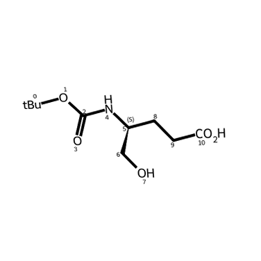 CC(C)(C)OC(=O)N[C@H](CO)CCC(=O)O